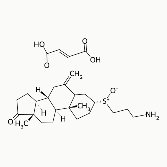 C=C1C[C@@H]2[C@H](CC[C@]3(C)C(=O)CC[C@@H]23)[C@@]2(C)CC[C@@H]([S+]([O-])CCCN)CC12.O=C(O)/C=C/C(=O)O